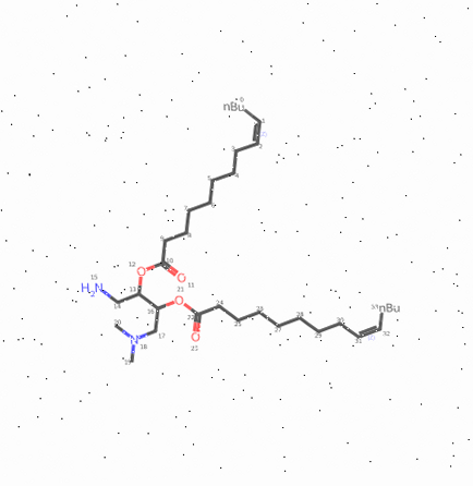 CCCC/C=C\CCCCCCCC(=O)OC(CN)C(CN(C)C)OC(=O)CCCCCCC/C=C\CCCC